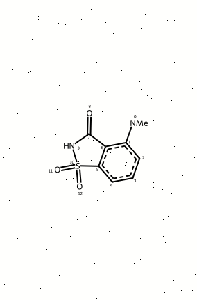 CNc1cccc2c1C(=O)NS2(=O)=O